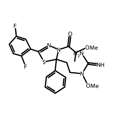 COC(C)C(=O)N1N=C(c2cc(F)ccc2F)SC1(CCN(OC)C(=N)N)c1ccccc1